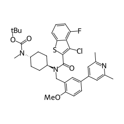 COc1ccc(-c2cc(C)nc(C)c2)cc1CN(C(=O)c1sc2cccc(F)c2c1Cl)[C@H]1CC[C@H](N(C)C(=O)OC(C)(C)C)CC1